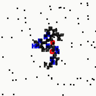 O=C(c1nnc(-c2ccn(C(F)(F)F)n2)o1)N1CCc2[nH]cnc2[C@@H]1c1cc2c(C3CC3)cccn2n1